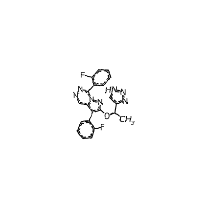 CC(Oc1nn2c(-c3ccccc3F)nncc2c1-c1ccccc1F)c1c[nH]nn1